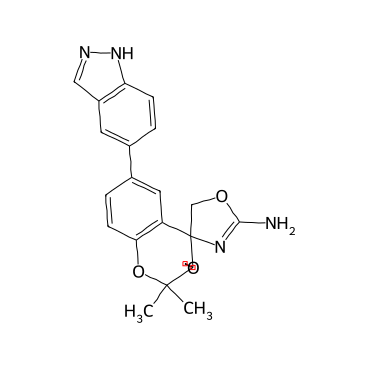 CC1(C)Oc2ccc(-c3ccc4[nH]ncc4c3)cc2C2(COC(N)=N2)C12COC2